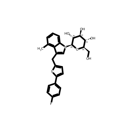 Cc1cccc2c1c(Cc1ccc(-c3ccc(F)cc3)s1)cn2[C@@H]1O[C@H](CO)[C@@H](O)[C@H](O)[C@H]1O